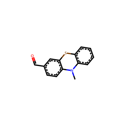 CN1c2ccccc2Sc2cc(C=O)ccc21